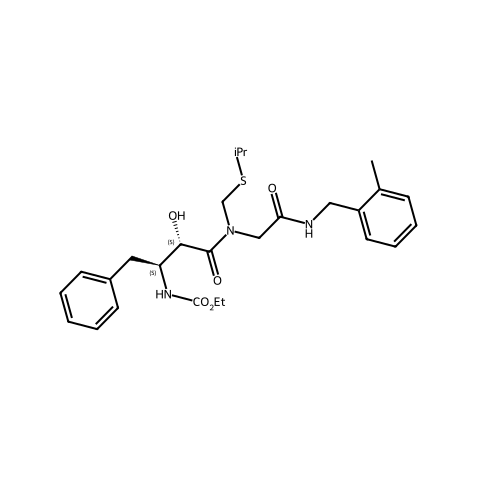 CCOC(=O)N[C@@H](Cc1ccccc1)[C@H](O)C(=O)N(CSC(C)C)CC(=O)NCc1ccccc1C